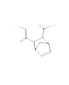 O=C(O)C1C2C=CC(C2)C1C(=O)CO